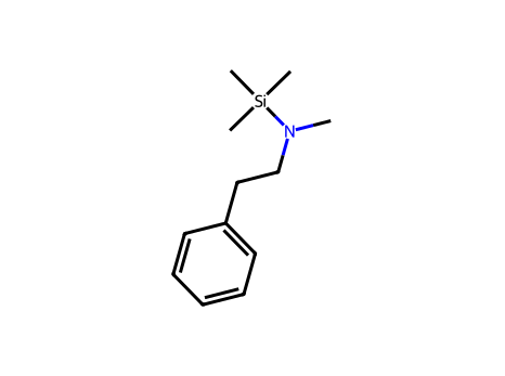 CN(CCc1ccccc1)[Si](C)(C)C